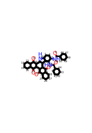 O=C(Nc1ccc2[nH]c3c4c(=O)c5ccccc5c(=O)c4c4c(=O)c5ccccc5c(=O)c4c3c2c1NC(=O)c1ccccc1)c1ccccc1